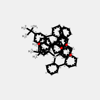 CC1C=C(c2cccc3cccc(-c4cc(C(C)(C)C)cc(C(C)(C)C)c4)c23)C(N(c2ccccc2-c2cccc3oc4ccccc4c23)c2cccc3c4ccccc4n(-c4ccccc4)c23)=CC1